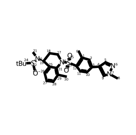 Cc1cc(-c2cnn(C)c2)ccc1S(=O)(=O)N1CC[C@H](N(C)[S+]([O-])C(C)(C)C)c2cccc(C)c21